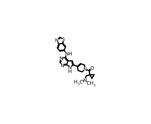 CN(C)CC1(C(=O)N2CC=C(c3cc4c(Nc5ccc6ncsc6c5)ncnc4[nH]3)CC2)CC1